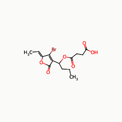 C/C=C1\OC(=O)C(C(CCC)OC(=O)CCC(=O)O)=C1Br